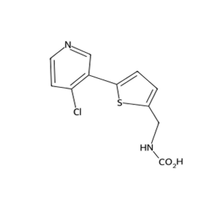 O=C(O)NCc1ccc(-c2cnccc2Cl)s1